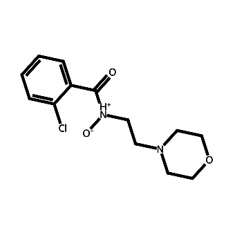 O=C(c1ccccc1Cl)[NH+]([O-])CCN1CCOCC1